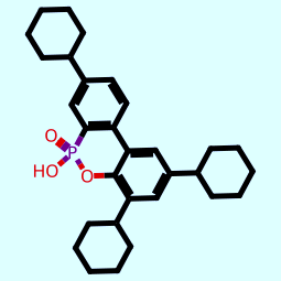 O=P1(O)Oc2c(cc(C3CCCCC3)cc2C2CCCCC2)-c2ccc(C3CCCCC3)cc21